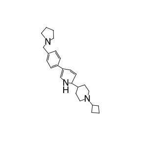 C1=CC(C2CCN(C3CCC3)CC2)NC=C1c1ccc(CN2CCCC2)cc1